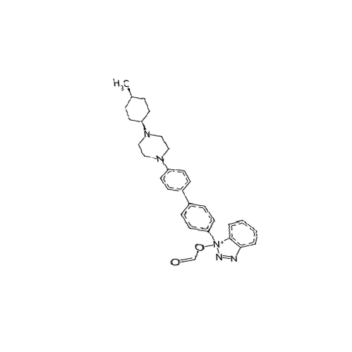 C[C@H]1CC[C@@H](N2CCN(c3ccc(-c4ccc([N+]5(OC=O)N=Nc6ccccc65)cc4)cc3)CC2)CC1